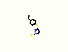 C=Cc1ccc(Sc2ccn(S)n2)cc1